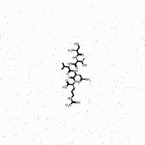 CC(C)[C@H](NC(=O)[C@@H](NC(=O)[C@@H](N)CO)[C@@H](C)O)C(=O)N[C@@H](CC(N)=O)C(=O)N[C@@H](CCCNC(=N)N)C(=O)O